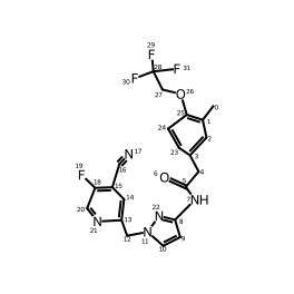 Cc1cc(CC(=O)Nc2ccn(Cc3cc(C#N)c(F)cn3)n2)ccc1OCC(F)(F)F